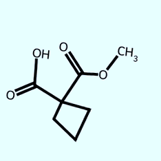 COC(=O)C1(C(=O)O)CCC1